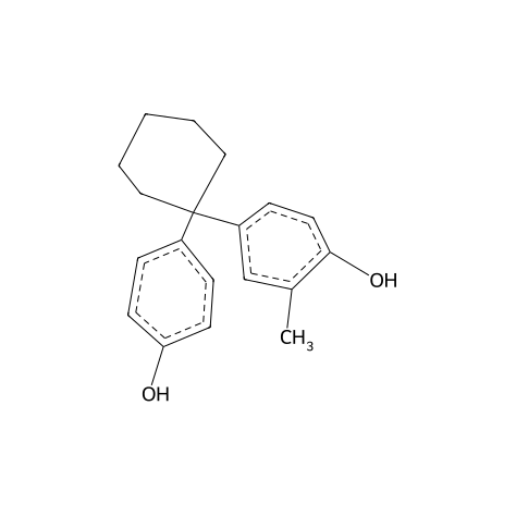 Cc1cc(C2(c3ccc(O)cc3)CCCCC2)ccc1O